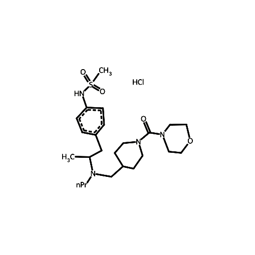 CCCN(CC1CCN(C(=O)N2CCOCC2)CC1)C(C)Cc1ccc(NS(C)(=O)=O)cc1.Cl